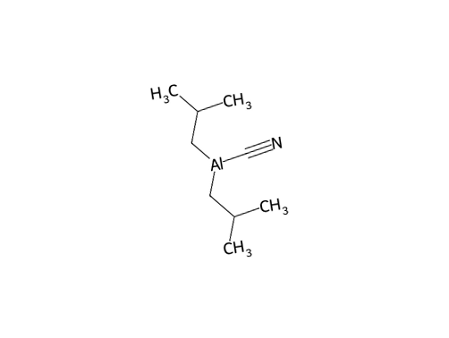 CC(C)[CH2][Al]([C]#N)[CH2]C(C)C